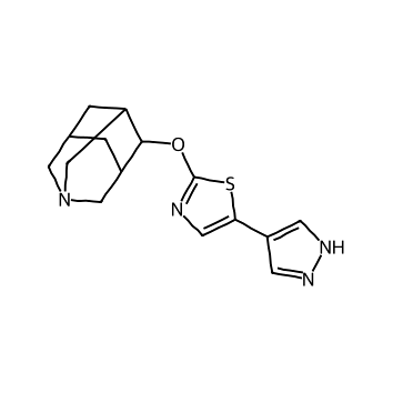 c1n[nH]cc1-c1cnc(OC2C3CC4CC2CN(C4)C3)s1